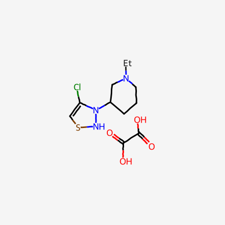 CCN1CCCC(N2NSC=C2Cl)C1.O=C(O)C(=O)O